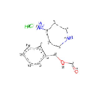 Cl.NC1CCNCC1.O=COCc1ccccc1